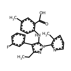 CCc1nn(-c2ncccc2C)c(Nc2ccc(C)cc2C(=O)O)c1-c1cccc(F)c1